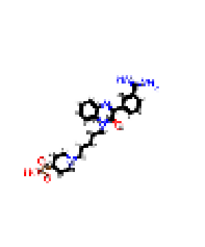 N=C(N)c1cccc(-c2nc3ccccc3n(CCCCCN3CCC(S(=O)(=O)O)CC3)c2=O)c1